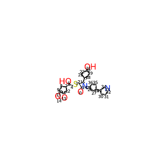 O=C1[C@H](SC[C@H](O)c2ccc3c(c2)OCO3)[C@@H](c2ccc(O)cc2)N1c1ccc(-c2cccnc2)cc1